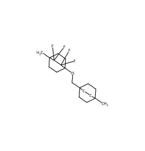 CC12CCC(COC34CCC(C)(CC3)C(F)(F)C4(F)F)(CC1)CC2